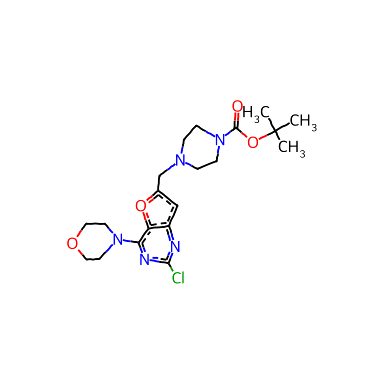 CC(C)(C)OC(=O)N1CCN(Cc2cc3nc(Cl)nc(N4CCOCC4)c3o2)CC1